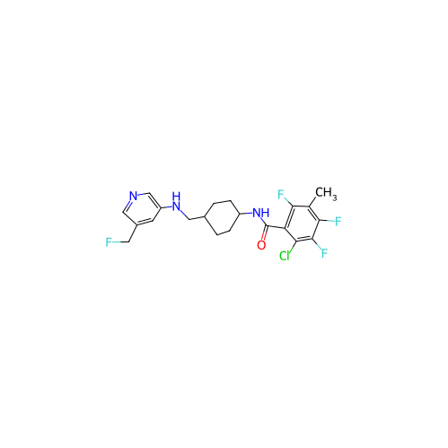 Cc1c(F)c(F)c(Cl)c(C(=O)NC2CCC(CNc3cncc(CF)c3)CC2)c1F